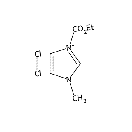 CCOC(=O)[n+]1ccn(C)c1.ClCl